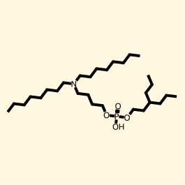 CCCCCCCCN(CCCCCCCC)CCCCOP(=O)(O)OCCC(CCC)CCC